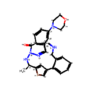 CNCc1ccccc1-c1csc([C@@H](C)Nn2ncc3cc(N4CCOCC4)ccc3c2=O)c1